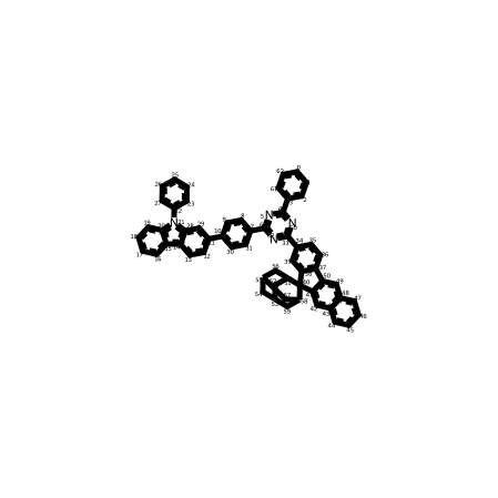 c1ccc(-c2nc(-c3ccc(-c4ccc5c6ccccc6n(-c6ccccc6)c5c4)cc3)nc(-c3ccc4c(c3)C3(c5cc6ccccc6cc5-4)C4CC5CC(C4)CC3C5)n2)cc1